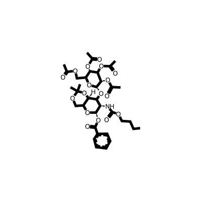 CCCCOC(=O)N[C@H]1C(O[C@@H]2OC(COC(C)=O)[C@H](OC(C)=O)C(OC(C)=O)[C@@H]2OC(C)=O)[C@@H]2OC(C)(C)OCC2O[C@H]1OC(=O)c1ccccc1